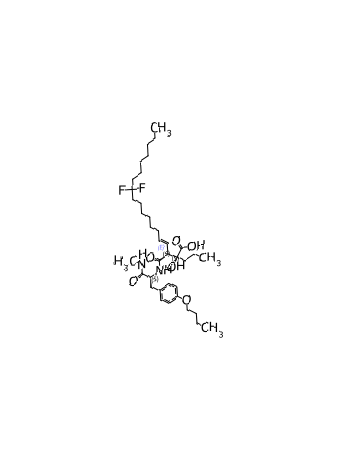 CCCCCCCC(F)(F)CCCCCC/C=C/[C@H](C(=O)N[C@@H](Cc1ccc(OCCCC)cc1)C(=O)NC)[C@@](O)(CCC)C(=O)O